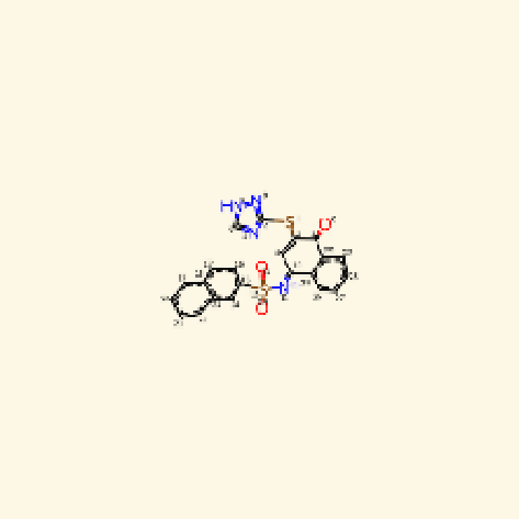 O=C1C(Sc2nc[nH]n2)=C/C(=N\S(=O)(=O)c2ccc3ccccc3c2)c2ccccc21